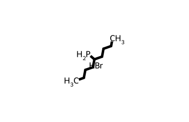 Br.CCCCC(P)CCCC